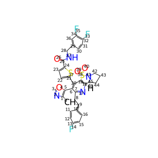 Cc1ncoc1-c1c(CCc2ccc(F)cc2)nc2c(c1-c1ccc(C(=O)NCc3ccc(F)c(F)c3)s1)S(=O)(=O)N1CCC[C@@H]21